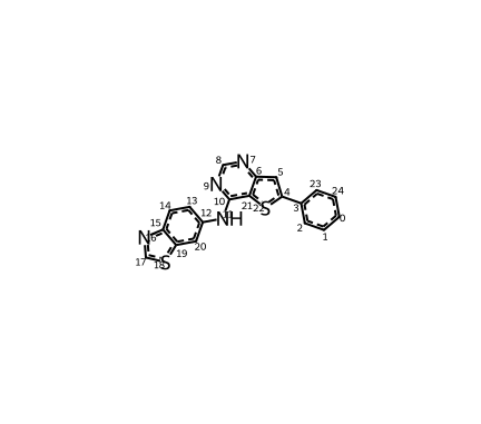 c1ccc(-c2cc3ncnc(Nc4ccc5ncsc5c4)c3s2)cc1